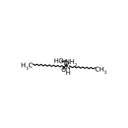 CCCCCCCCCCCCCCCCC(=O)C(=O)NCCCCCCCCCCCCCC.NCCO